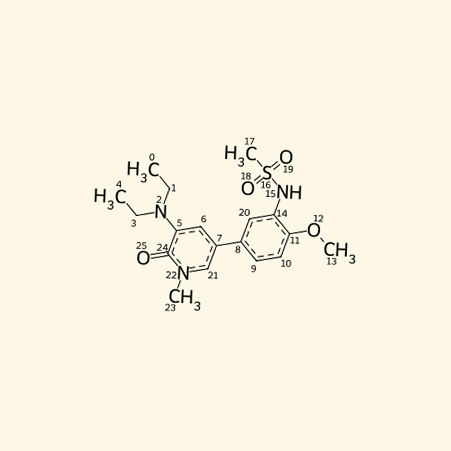 CCN(CC)c1cc(-c2ccc(OC)c(NS(C)(=O)=O)c2)cn(C)c1=O